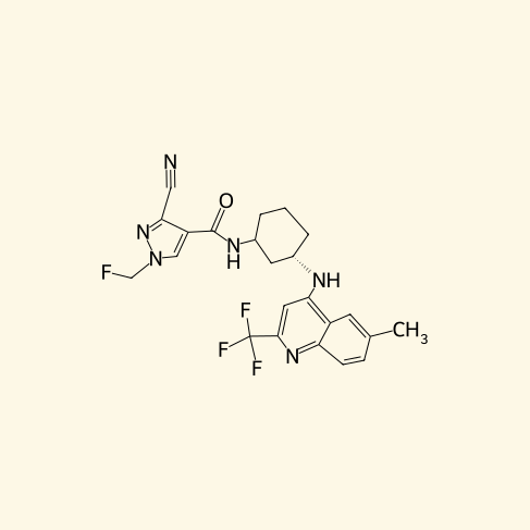 Cc1ccc2nc(C(F)(F)F)cc(N[C@H]3CCCC(NC(=O)c4cn(CF)nc4C#N)C3)c2c1